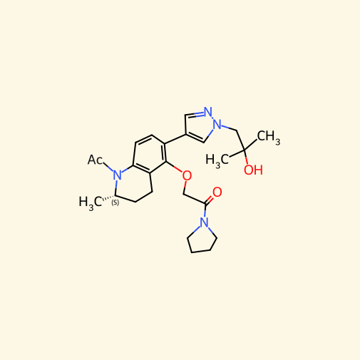 CC(=O)N1c2ccc(-c3cnn(CC(C)(C)O)c3)c(OCC(=O)N3CCCC3)c2CC[C@@H]1C